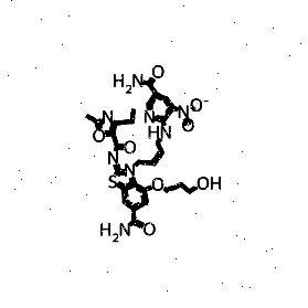 CCc1nc(C)oc1C(=O)N=c1sc2cc(C(N)=O)cc(OCCCO)c2n1C/C=C\CNc1ncc(C(N)=O)cc1[N+](=O)[O-]